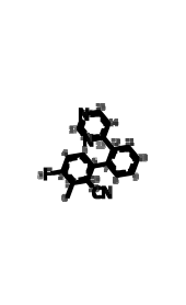 Cc1c(F)ccc(-c2ccccc2-c2ccncn2)c1C#N